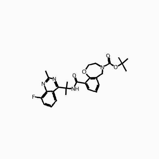 Cc1nc(C(C)(C)NC(=O)c2cccc3c2OCCN(C(=O)OC(C)(C)C)C3)c2cccc(F)c2n1